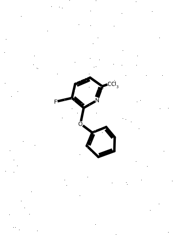 Fc1ccc(C(Cl)(Cl)Cl)nc1Oc1ccccc1